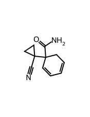 N#CC1(C2(C(N)=O)C=CC=CC2)CC1